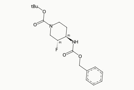 CC(C)(C)OC(=O)N1CC[C@@H](NC(=O)OCc2ccccc2)[C@H](F)C1